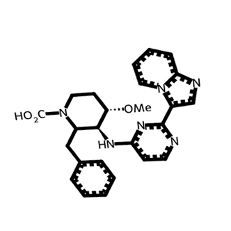 CO[C@H]1CCN(C(=O)O)C(Cc2ccccc2)[C@@H]1Nc1ccnc(-c2cnc3ccccn23)n1